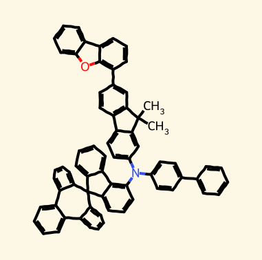 CC1(C)c2cc(-c3cccc4c3oc3ccccc34)ccc2-c2ccc(N(c3ccc(-c4ccccc4)cc3)c3cccc4c3-c3ccccc3C43c4ccccc4-c4ccccc4-c4ccccc43)cc21